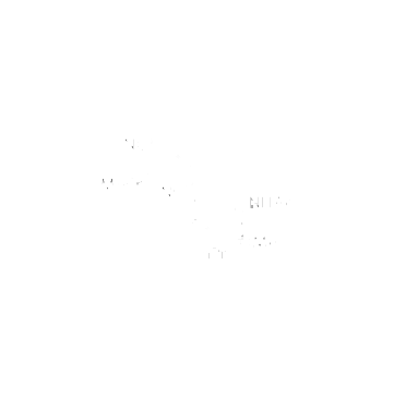 CCCc1cc(-c2ccc(C#N)c(OC)n2)cc(NC(C)=O)c1OC